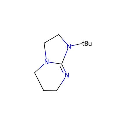 CC(C)(C)N1CCN2CCCN=C21